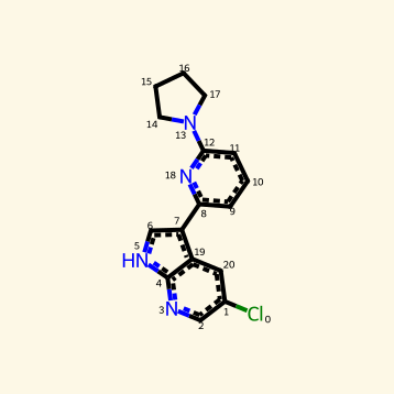 Clc1cnc2[nH]cc(-c3cccc(N4CCCC4)n3)c2c1